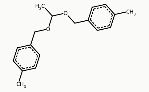 Cc1ccc(COC(C)OCc2ccc(C)cc2)cc1